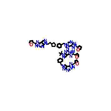 C1=NC2=NN(c3ccco3)NC2=C2N=CN(Cc3ccccc3)N12.CC(C)(C)n1ncc2c1ncn1nc(-c3ccco3)nc21.c1ccc(Cn2cc3c(ncn4nc(-c5ccco5)nc34)n2)cc1.c1coc(-c2nc3c4cnn(CCC5CCCC5)c4ncn3n2)c1